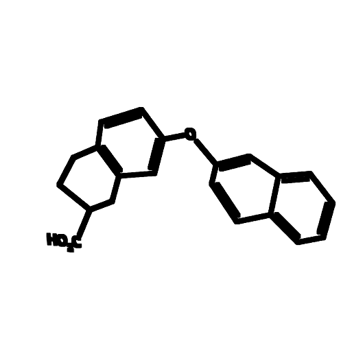 O=C(O)C1CCc2ccc(Oc3ccc4ccccc4c3)cc2C1